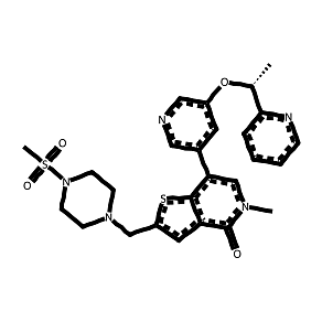 C[C@@H](Oc1cncc(-c2cn(C)c(=O)c3cc(CN4CCN(S(C)(=O)=O)CC4)sc23)c1)c1ccccn1